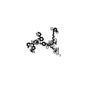 Cc1cccc(-c2nc(CN(Cc3ccccc3-c3cccnc3)C(=O)OCc3ccc(NC(=O)[C@H](CCCNC(N)=O)NC(=O)[C@@H](NC(=O)CCCCCN4C(=O)C=CC4=O)C(C)C)cc3)[nH]c2-c2ccc3ncnn3c2)n1